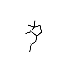 COCC1CCC(C)(C)N1C